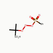 CC(C)S(=O)(=O)OOOC(C)(C)S(=O)(=O)O